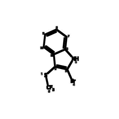 FC(F)(F)Sc1c(Br)[nH]c2ccccc12